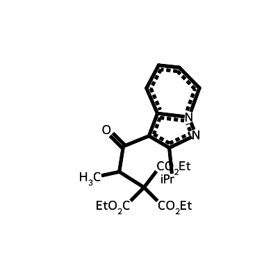 CCOC(=O)C(C(=O)OCC)(C(=O)OCC)C(C)C(=O)c1c(C(C)C)nn2ccccc12